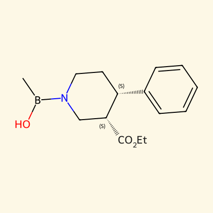 CCOC(=O)[C@@H]1CN(B(C)O)CC[C@@H]1c1ccccc1